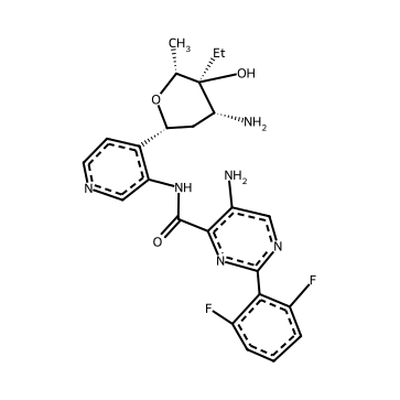 CC[C@]1(O)[C@H](N)C[C@H](c2ccncc2NC(=O)c2nc(-c3c(F)cccc3F)ncc2N)O[C@@H]1C